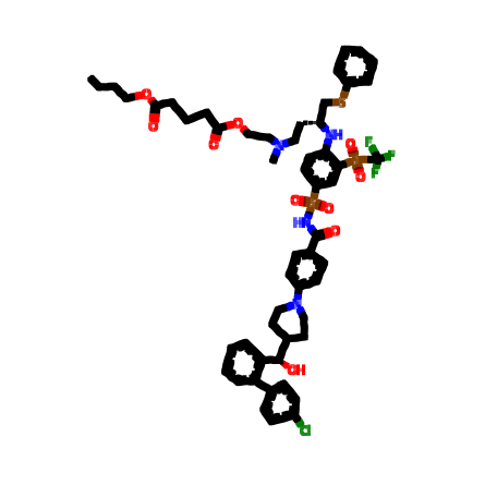 CCCCOC(=O)CCCC(=O)OCCN(C)CC[C@H](CSc1ccccc1)Nc1ccc(S(=O)(=O)NC(=O)c2ccc(N3CCC([C@@H](O)c4ccccc4-c4ccc(Cl)cc4)CC3)cc2)cc1S(=O)(=O)C(F)(F)F